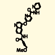 COCC#CC(=O)Nc1ccc2nccc(Oc3ccc(C(=O)Nc4ccccn4)nc3)c2c1